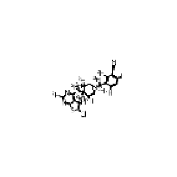 [2H]c1nc(N([2H])C2([2H])C([2H])([2H])CN(C([2H])([2H])c3c([2H])cc(F)c(C#N)c3[2H])CC2([2H])[2H])c2c([2H])c(Cl)sc2n1